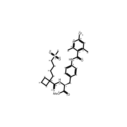 COC(=O)[C@H](Cc1ccc(NC(=O)c2c(C)cc(C(F)(F)F)nc2C)cc1)NC(=S)C1(CCCCS(C)(=O)=O)CCC1